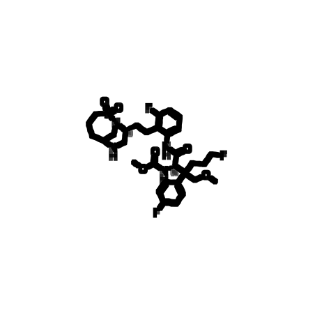 COCC(CCCF)(c1ccc(F)cc1)[C@H](NC(=O)OC)C(=O)Nc1cccc(F)c1CC[C@H]1CNC2CCCS(=O)(=O)N1C2